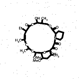 CCC1C=C(C)CC(C)CC(OC)C2OC(O)(C(=O)C(=O)N3CCCCC3C(=O)OCC(C)C(O)CC1=O)C(C)CC2OC